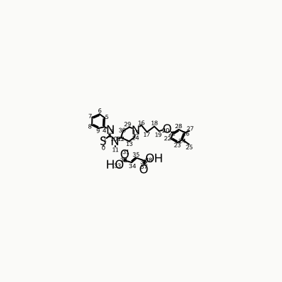 CSC(=Nc1ccccc1)N(C)C1CCN(CCCCOc2ccc(C)c(C)c2)CC1.O=C(O)C=CC(=O)O